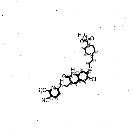 Cc1nc(NCc2cc3cc(Cl)c(OCCN4CCN(S(C)(=O)=O)CC4)cc3[nH]c2=O)ccc1C#N